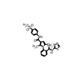 Cc1cc(C(=O)Nc2ccc(S(C)(=O)=O)cc2)c(C)n1-c1ccccc1C(=O)Nc1nncs1